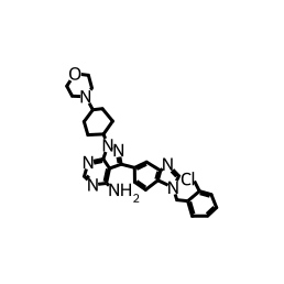 Nc1ncnc2c1c(-c1ccc3c(c1)ncn3Cc1ccccc1Cl)nn2C1CCC(N2CCOCC2)CC1